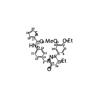 CCOc1ccc(C2=NN(Cc3ccc(NC(=O)c4cccs4)cc3)C(=O)CC2CC)cc1OC